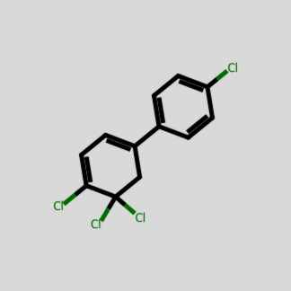 ClC1=CC=C(c2ccc(Cl)cc2)CC1(Cl)Cl